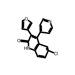 O=c1[nH]c2ccc(Cl)cc2c(-c2ccncc2)c1-c1ccoc1